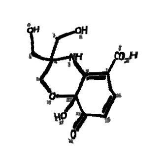 O=C(O)C1=C2NC(CO)(CO)COC2(O)C(=O)C=C1